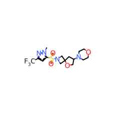 Cn1nc(C(F)(F)F)cc1S(=O)(=O)N1CC2(CC(N3CCOCC3)CO2)C1